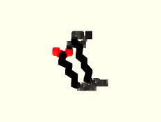 CCCCCCCCCCCCCCCC(=O)OCCCCCCCC.CCCCCCCCCCCCCCCCCC(=O)O